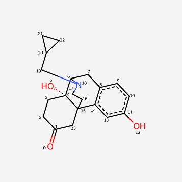 O=C1CC[C@@]2(O)C3Cc4ccc(O)cc4C2(CCN3CC2CC2)C1